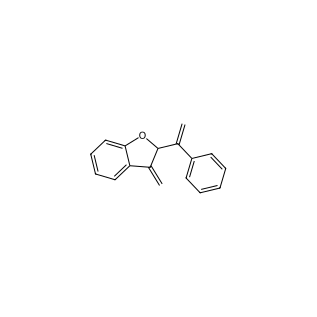 C=C(c1ccccc1)C1Oc2ccccc2C1=C